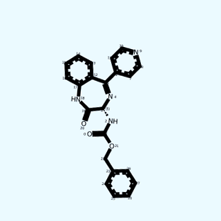 O=C(N[C@H]1N=C(c2ccncc2)c2ccccc2NC1=O)OCc1ccccc1